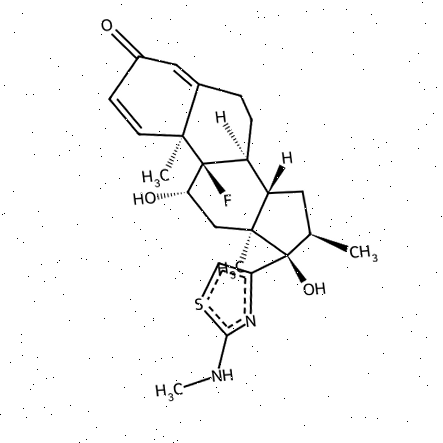 CNc1nc([C@@]2(O)[C@H](C)C[C@H]3[C@@H]4CCC5=CC(=O)C=C[C@]5(C)[C@@]4(F)[C@@H](O)C[C@@]32C)cs1